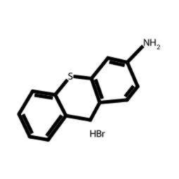 Br.Nc1ccc2c(c1)Sc1ccccc1C2